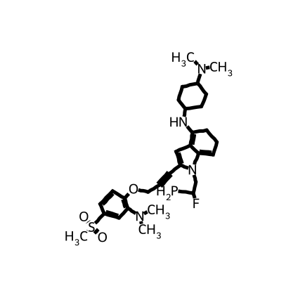 CN(C)c1cc(S(C)(=O)=O)ccc1OCC#Cc1cc2c(n1CC(F)P)=CCCC=2NC1CCC(N(C)C)CC1